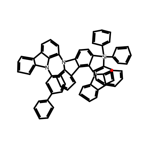 c1ccc(-c2cccc(-n3c4ccccc4c4cccc(-n5c6ccccc6c6c(-n7c8ccccc8c8ccccc87)c([Si](c7ccccc7)(c7ccccc7)c7ccccc7)ccc65)c43)c2)cc1